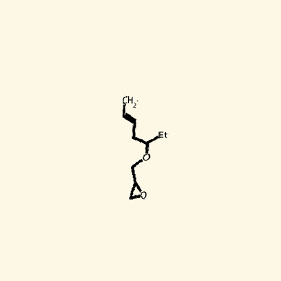 [CH2]C=CCC(CC)OCC1CO1